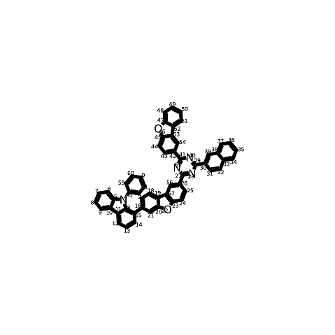 c1ccc(-n2c3ccccc3c3cccc(-c4ccc5c(c4)oc4ccc(-c6nc(-c7ccc8ccccc8c7)nc(-c7ccc8oc9ccccc9c8c7)n6)cc45)c32)cc1